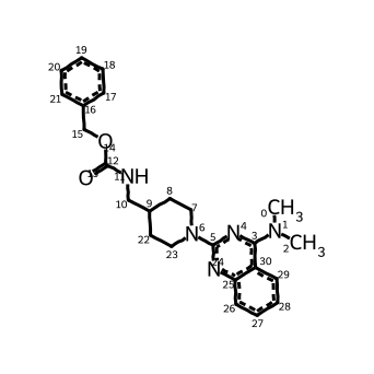 CN(C)c1nc(N2CCC(CNC(=O)OCc3ccccc3)CC2)nc2ccccc12